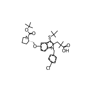 CC(C)(C)OC(=O)N1CCC[C@H]1COc1ccc2c(c1)c(SC(C)(C)C)c(CC(C)(C)C(=O)O)n2Cc1ccc(Cl)cc1